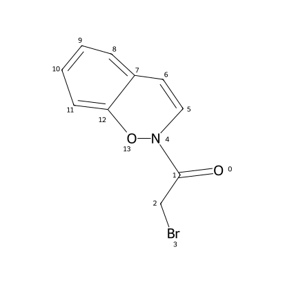 O=C(CBr)N1C=Cc2ccccc2O1